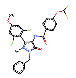 COc1cc(F)c(-c2c(NC(=O)c3ccc(OC(F)F)cc3)c(=O)n(Cc3ccccc3)n2C)c(F)c1